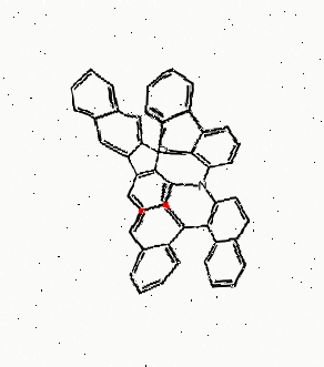 CC1(C)c2cc3ccccc3cc2-c2cccc(N(c3ccc4ccccc4c3-c3cccc4ccccc34)c3cccc4c3oc3ccccc34)c21